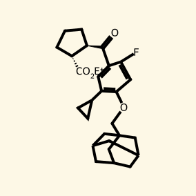 CCOC(=O)[C@@H]1CCC[C@H]1C(=O)c1cc(C2CC2)c(OCC23CC4CC(CC(C4)C2)C3)cc1F